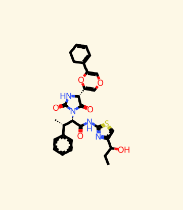 CCC(O)c1csc(NC(=O)[C@H]([C@@H](C)c2ccccc2)N2C(=O)N[C@H](C3=COC=C(C4=CC=CCC4)O3)C2=O)n1